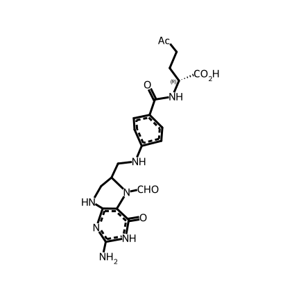 CC(=O)CC[C@@H](NC(=O)c1ccc(NCC2CNc3nc(N)[nH]c(=O)c3N2C=O)cc1)C(=O)O